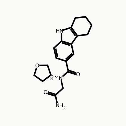 NC(=O)CN(C(=O)c1ccc2[nH]c3c(c2c1)CCCC3)[C@@H]1CCOC1